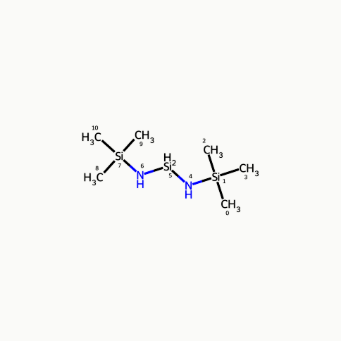 C[Si](C)(C)N[SiH2]N[Si](C)(C)C